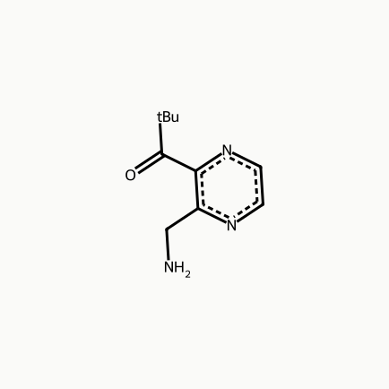 CC(C)(C)C(=O)c1nccnc1CN